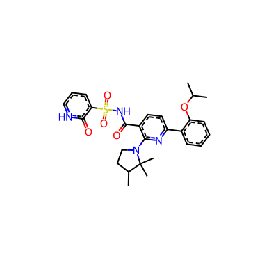 CC(C)Oc1ccccc1-c1ccc(C(=O)NS(=O)(=O)c2ccc[nH]c2=O)c(N2CCC(C)C2(C)C)n1